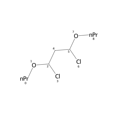 CCCOC(Cl)CC(Cl)OCCC